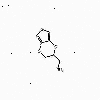 NCC1COc2cscc2O1